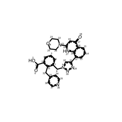 O=C(O)c1cccc(Cn2cc(-c3cccc4c(=O)cc(N5CCOCC5)[nH]c34)nn2)c1Cc1ccncc1